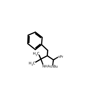 CCCCC(CCC)C(Cc1ccccc1)C(C)(C)NC(C)=O